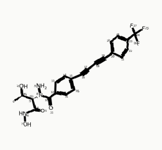 C[C@@H](O)[C@@H](C(=O)NO)N(N)C(=O)c1ccc(C#CC#Cc2ccc(C(F)(F)F)cc2)cc1